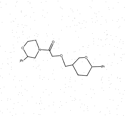 CC(C)C1CCC(COCC(=O)N2CCOC(C(C)C)C2)CO1